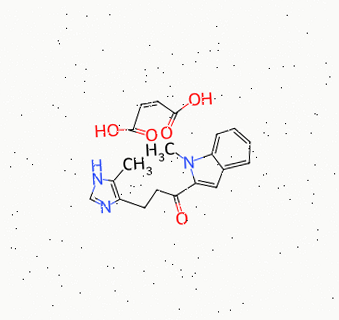 Cc1[nH]cnc1CCC(=O)c1cc2ccccc2n1C.O=C(O)/C=C\C(=O)O